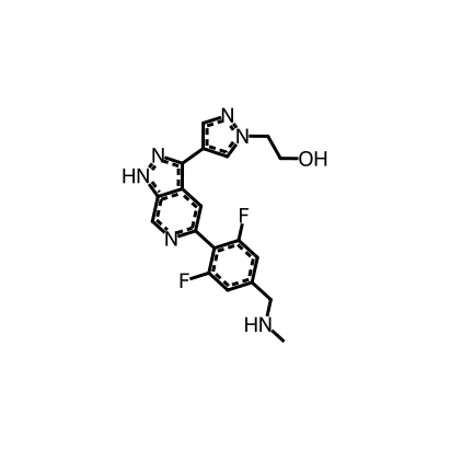 CNCc1cc(F)c(-c2cc3c(-c4cnn(CCO)c4)n[nH]c3cn2)c(F)c1